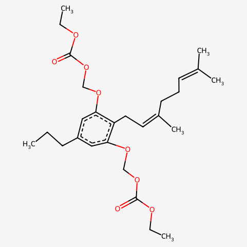 CCCc1cc(OCOC(=O)OCC)c(CC=C(C)CCC=C(C)C)c(OCOC(=O)OCC)c1